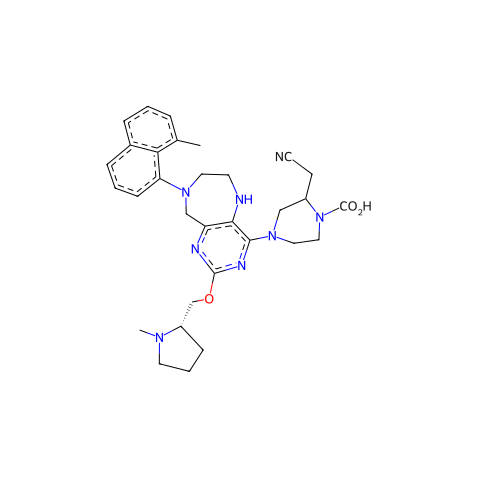 Cc1cccc2cccc(N3CCNc4c(nc(OC[C@@H]5CCCN5C)nc4N4CCN(C(=O)O)C(CC#N)C4)C3)c12